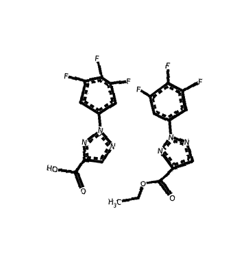 CCOC(=O)c1cnn(-c2cc(F)c(F)c(F)c2)n1.O=C(O)c1cnn(-c2cc(F)c(F)c(F)c2)n1